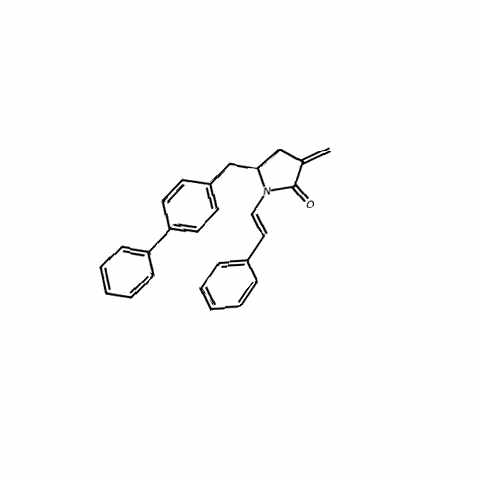 C=C1CC(Cc2ccc(-c3ccccc3)cc2)N(C=Cc2ccccc2)C1=O